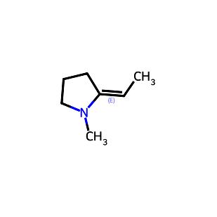 C/C=C1\CCCN1C